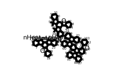 CCCCCCCC1(CCCCCCC)c2ccccc2-c2c1c1c(c3c2oc2ccccc23)-c2ccc(N(c3ccc4c(c3)C(C)(C)c3c5c(c6oc7ccccc7c6c3-4)-c3ccccc3C5(C)C)c3ccc4c(c3)C3(c5ccccc5-c5ccccc53)c3cc5c(cc3-4)C3(c4ccccc4-c4ccccc43)c3ccc4oc6ccccc6c4c3-5)cc2C1(CCCCCCC)CCCCCCC